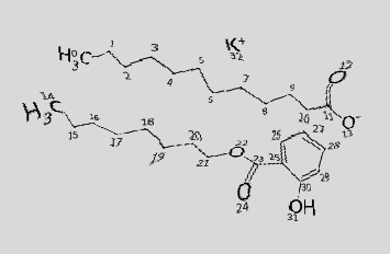 CCCCCCCCCCCC(=O)[O-].CCCCCCCCOC(=O)c1ccccc1O.[K+]